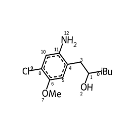 CCC(C)C(O)Cc1cc(OC)c(Cl)cc1N